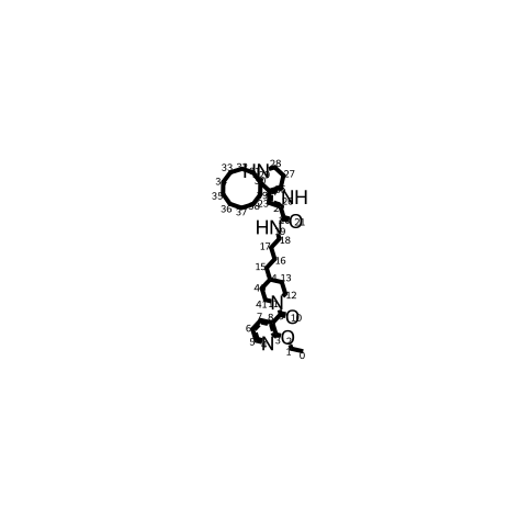 CCOc1ncccc1C(=O)N1CCC(CCCCNC(=O)c2cc3c([nH]2)CCNC32CCCCCCCCC2)CC1